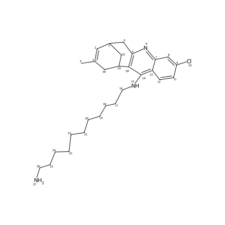 CC1=CC2Cc3nc4cc(Cl)ccc4c(NCCCCCCCCCCCN)c3C(C1)C2